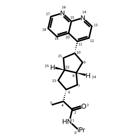 CC(C)NC(=O)C(C)[C@H]1C[C@H]2C[C@@H](c3ccnc4ncccc34)C[C@H]2C1